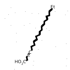 CCC=CCC=CCC=CCC=CCC=CCCCCCCCC(=O)O